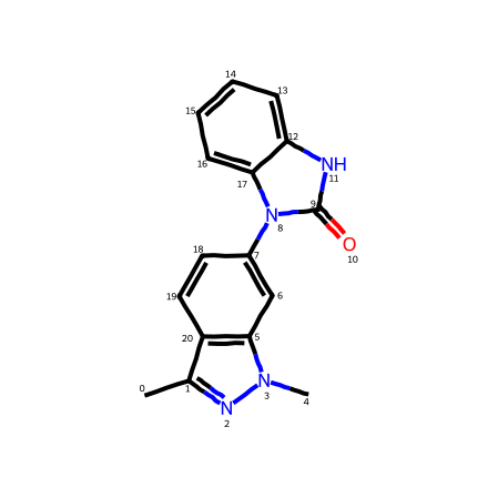 Cc1nn(C)c2cc(-n3c(=O)[nH]c4ccccc43)ccc12